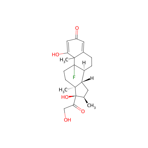 C[C@@H]1C[C@H]2[C@@H]3CCC4=CC(=O)C=C(O)C4(C)C3(F)CC[C@]2(C)[C@@]1(O)C(=O)CO